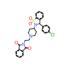 O=C1c2ccccc2C(=O)N1CCN1CCC(N2C(c3ccc(Cl)cc3)c3ccccc3S2(=O)=O)CC1